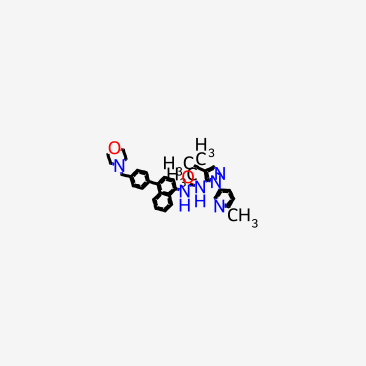 Cc1ccc(-n2ncc(C(C)(C)C)c2NC(=O)Nc2ccc(-c3ccc(CN4CCOCC4)cc3)c3ccccc23)cn1